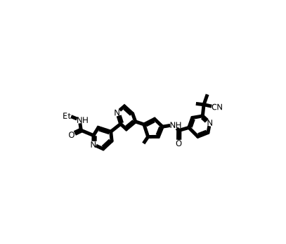 CCNC(=O)c1cc(-c2cc(C3=CC(NC(=O)c4ccnc(C(C)(C)C#N)c4)=CC3C)ccn2)ccn1